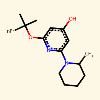 CCCC(C)(C)Oc1cc(O)cc(N2CCCCC2C(F)(F)F)n1